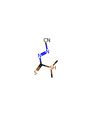 C[SH](C)C(=S)N=NC#N